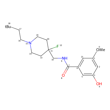 COc1cc(O)cc(C(=O)NCC2(F)CCN(CCC(C)(C)C)CC2)c1